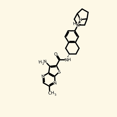 Cc1cnc2c(N)c(C(=O)N[C@H]3CCc4cc(N5CC6CCC(C5)N6C)ccc4C3)sc2n1